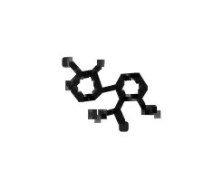 NC(=O)c1c(-c2ccnc(Cl)c2F)cccc1[N+](=O)[O-]